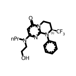 CCCN(CCO)c1cc(=O)n2c(n1)N(c1ccccc1)[C@H](C(F)(F)F)CC2